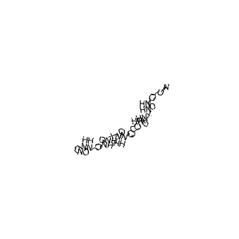 CC(C)(CNC(=O)Nc1ccc(CNC(=O)Nc2ccccn2)cc1)CNC(=O)Nc1ccc2c(c1)Cc1cc(NC(=O)NCC(C)(C)CNC(=O)Nc3ccc(COC#N)cc3)ccc1-2